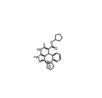 CC1=C(C(=O)OC2CCCC2)C(c2ccccc2[N+](=O)[O-])c2c(C3CCCC3)nn(C)c2N1